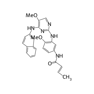 C/C=C/C(=O)Nc1ccc(OC)c(Nc2ncc(OC)c(Nc3ccc4ccccc4c3)n2)c1